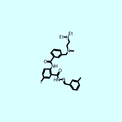 CCN(CC)CCN(C)Cc1cccc(C(=O)Nc2ccc(I)cc2C(=O)NN=Cc2cccc(C)c2)c1